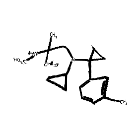 CC(C)(CN(C1CC1)C1(c2cccc(C(F)(F)F)c2)CC1)NC(=O)O